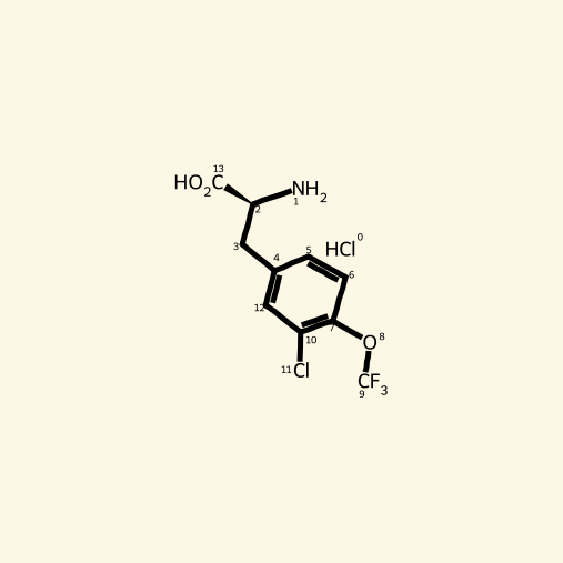 Cl.N[C@@H](Cc1ccc(OC(F)(F)F)c(Cl)c1)C(=O)O